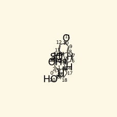 C[C@]12CC[C@H]3[C@@H](CCC4=CC(=O)C=C[C@@]43C)[C@@H]1CC[C@@H]2O.O=S(=O)(O)O